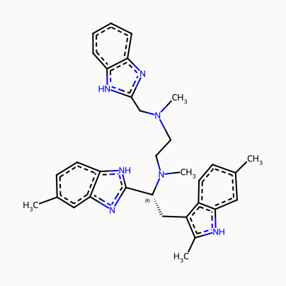 Cc1ccc2[nH]c([C@@H](Cc3c(C)[nH]c4cc(C)ccc34)N(C)CCN(C)Cc3nc4ccccc4[nH]3)nc2c1